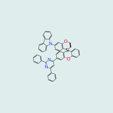 c1ccc(-c2cc(-c3ccc4c(c3)Oc3ccccc3[Si]43c4ccccc4Oc4cc(-n5c6ccccc6c6ccccc65)ccc43)nc(-c3ccccc3)n2)cc1